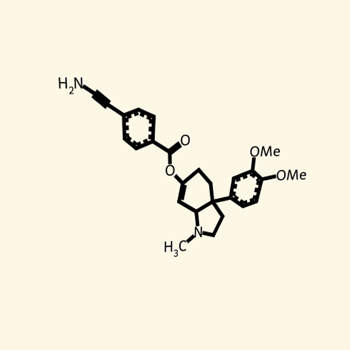 COc1ccc(C23CCC(OC(=O)c4ccc(C#CN)cc4)=CC2N(C)CC3)cc1OC